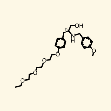 CCOCCOCCOCCOc1ccc(C[C@@H](CO)NCc2ccc(OC)cc2)cc1